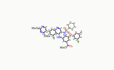 COC(=O)c1cc(Nc2c(NS(=O)(=O)C3CCCCC3)cnc3cc(-c4cnc(OC)nc4OC)cc(F)c23)cc(Oc2cc(F)cc(F)c2)c1